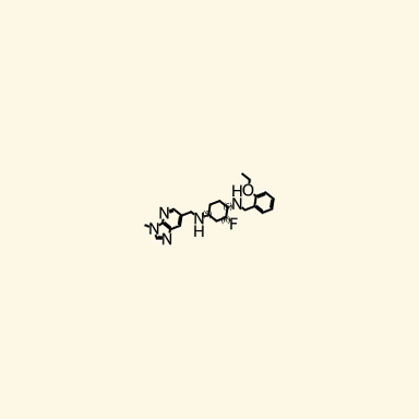 CCOc1ccccc1CN[C@H]1CC[C@H](NCc2cnc3c(c2)ncn3C)C[C@H]1F